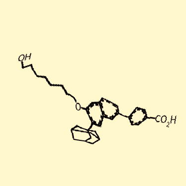 O=C(O)c1ccc(-c2ccc3cc(OCCCCCCCCO)c(C45CC6CC(CC(C6)C4)C5)cc3c2)cc1